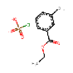 CCOC(=O)c1cccc(C)c1.O=S(=O)(O)Cl